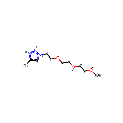 CC(C)c1cn(CCOCCOCCOC(C)(C)C)nn1